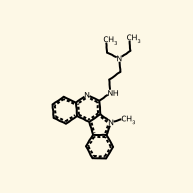 CCN(CC)CCNc1nc2ccccc2c2c3ccccc3n(C)c12